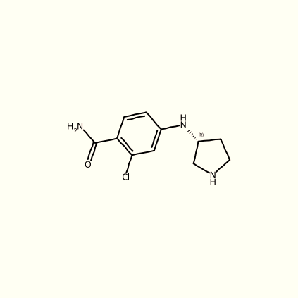 NC(=O)c1ccc(N[C@@H]2CCNC2)cc1Cl